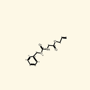 C=CCOC(=O)CNC(=O)OCc1ccccc1